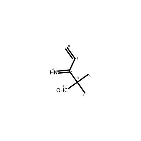 C=CC(=N)C(C)(C)C=O